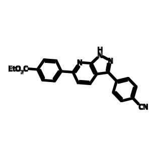 CCOC(=O)c1ccc(-c2ccc3c(-c4ccc(C#N)cc4)n[nH]c3n2)cc1